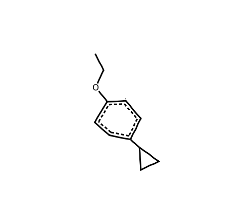 CCOc1[c]cc(C2CC2)cc1